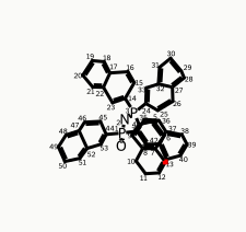 O=P(N=P(c1ccc2c(c1)CCC=C2)(c1ccc2ccccc2c1)c1ccc2ccccc2c1)(c1ccc2ccccc2c1)c1ccc2ccccc2c1